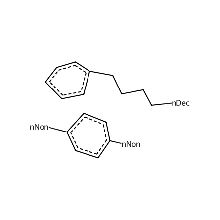 CCCCCCCCCCCCCCc1ccccc1.CCCCCCCCCc1ccc(CCCCCCCCC)cc1